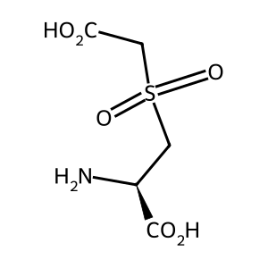 N[C@@H](CS(=O)(=O)CC(=O)O)C(=O)O